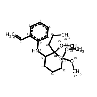 C=Cc1ccccc1NC1CCC[Si](OC)(OC)C1(CCC)OC